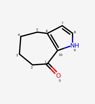 O=C1CCCCc2cc[nH]c21